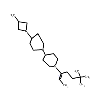 C/C=C(\CCC(C)(C)C)N1CCC(N2CCC(N3CC(C)C3)CC2)CC1